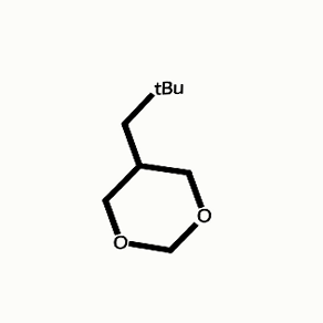 CC(C)(C)CC1COCOC1